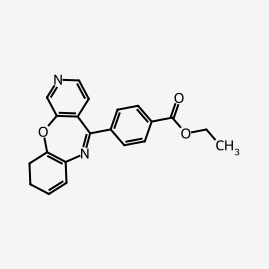 CCOC(=O)c1ccc(C2=NC3=C(CCC=C3)Oc3cnccc32)cc1